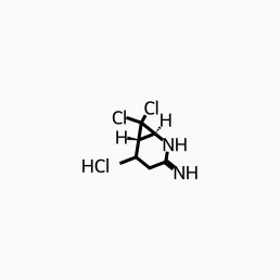 CC1CC(=N)N[C@H]2[C@H]1C2(Cl)Cl.Cl